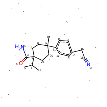 CC(C)C1(C(N)=O)CCC(C)(c2ccc(CC#N)cc2)CC1